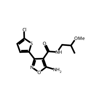 COC(C)CNC(=O)c1c(-c2ccc(Cl)s2)noc1N